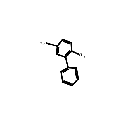 Cc1ccc(C)c(-c2c[c]ccc2)c1